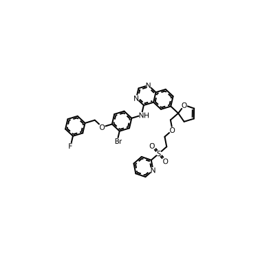 O=S(=O)(CCOCC1(c2ccc3ncnc(Nc4ccc(OCc5cccc(F)c5)c(Br)c4)c3c2)CC=CO1)c1ccccn1